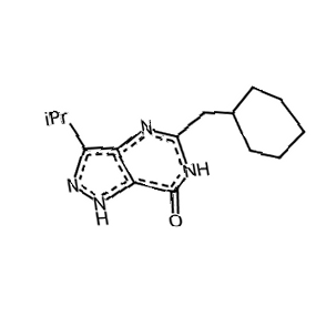 CC(C)c1n[nH]c2c(=O)[nH]c(CC3CCCCC3)nc12